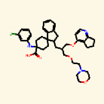 O=C(O)C1(Nc2cccc(Cl)c2)CCC2(CC1)c1ccccc1CC2CC(COCCN1CCOCC1)COc1ccnc2c1CCC2